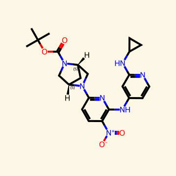 CC(C)(C)OC(=O)N1C[C@@H]2C[C@H]1CN2c1ccc([N+](=O)[O-])c(Nc2ccnc(NC3CC3)c2)n1